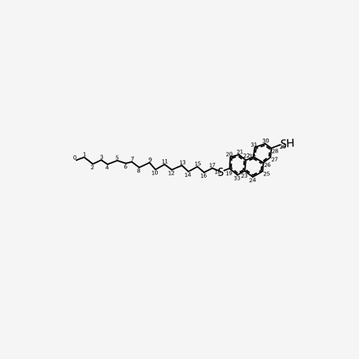 CCCCCCCCCCCCCCCCCCSc1ccc2c(ccc3cc(S)ccc32)c1